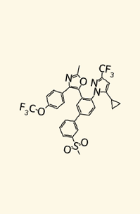 Cc1nc(-c2ccc(OC(F)(F)F)cc2)c(-c2cc(-c3cccc(S(C)(=O)=O)c3)ccc2-n2nc(C(F)(F)F)cc2C2CC2)o1